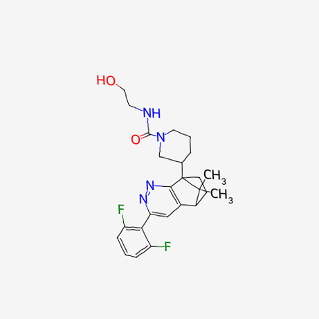 CC1(C)C2CCC1(C1CCCN(C(=O)NCCO)C1)c1nnc(-c3c(F)cccc3F)cc12